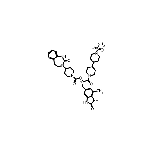 Cc1cc(C[C@@H](OC(=O)N2CCC(N3CCc4ccccc4NC3=O)CC2)C(=O)N2CCC(C3CCN(S(N)(=O)=O)CC3)CC2)cc2[nH]c(=O)[nH]c12